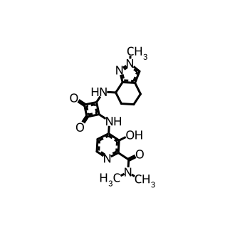 CN(C)C(=O)c1nccc(Nc2c(NC3CCCc4cn(C)nc43)c(=O)c2=O)c1O